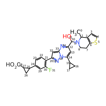 CC1c2ccsc2CCN1C(O)c1cc(C2CC2)n2nc(-c3ccc(C4CC4C(=O)O)cc3F)cc2n1